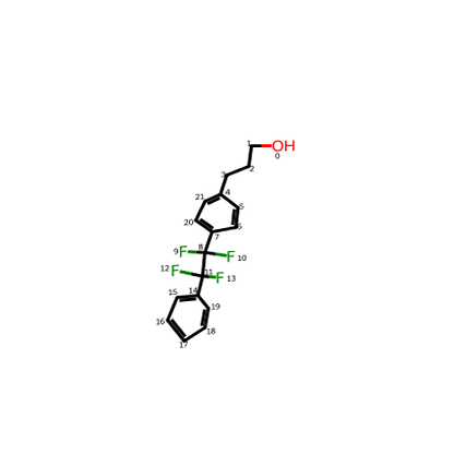 OCCCc1ccc(C(F)(F)C(F)(F)c2ccccc2)cc1